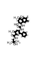 Cc1cc(NC(=O)N[C@@H]2c3cc(F)c(F)cc3C(C)(C)C[C@H]2O)c(-c2ccccc2)nc1C(=O)NCC(C)(C)O